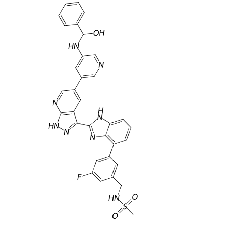 CS(=O)(=O)NCc1cc(F)cc(-c2cccc3[nH]c(-c4n[nH]c5ncc(-c6cncc(NC(O)c7ccccc7)c6)cc45)nc23)c1